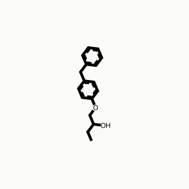 CCC(O)COc1ccc(Cc2ccccc2)cc1